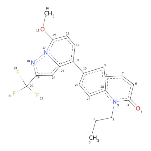 CCCn1c(=O)ccc2cc(-c3ccc(OC)n4nc(C(F)(F)F)cc34)ccc21